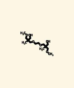 COCC(C)(CO)COCCOCC(C)(CO)COC